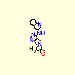 CC1(CN2Cc3ncnc(Nc4cnc5ccccc5c4)c3C2)COC1